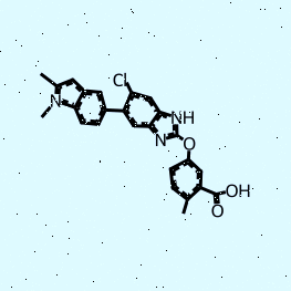 Cc1ccc(Oc2nc3cc(-c4ccc5c(c4)cc(C)n5C)c(Cl)cc3[nH]2)cc1C(=O)O